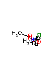 CCCCCCCC(=O)OC[N+]1(C)C[C@@H]2c3ccccc3Oc3ccc(Cl)cc3[C@H]2C1